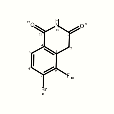 O=C1Cc2c(ccc(Br)c2F)C(=O)N1